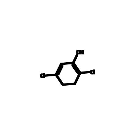 OC1=C(Cl)CCC(Cl)=C1